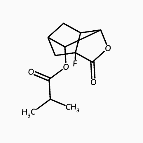 CC(C)C(=O)OC1C2CC3C1OC(=O)C3(F)C2